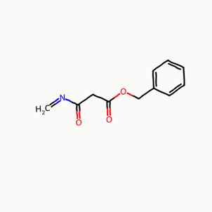 C=NC(=O)CC(=O)OCc1ccccc1